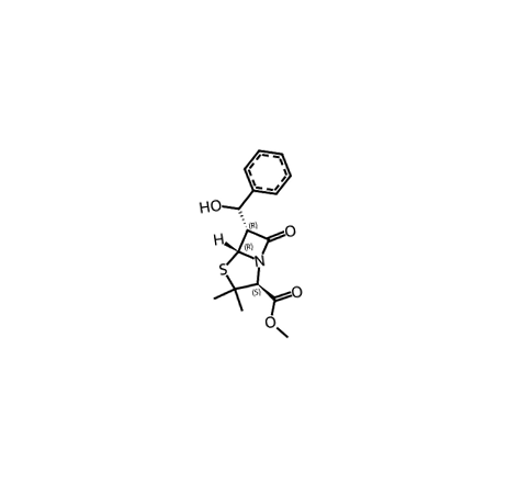 COC(=O)[C@@H]1N2C(=O)[C@@H](C(O)c3ccccc3)[C@H]2SC1(C)C